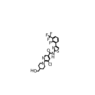 O=C(Nc1nc(-c2cccc(C(F)(F)F)c2F)cs1)c1cnc(N2CCC(CO)CC2)c(Cl)c1